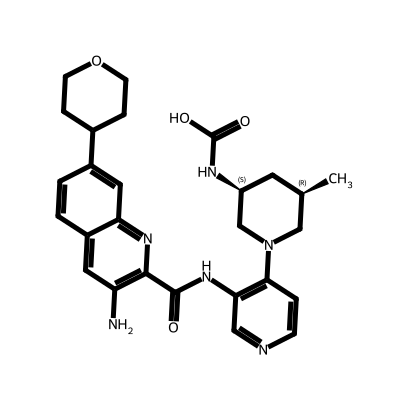 C[C@@H]1C[C@H](NC(=O)O)CN(c2ccncc2NC(=O)c2nc3cc(C4CCOCC4)ccc3cc2N)C1